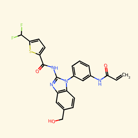 C=CC(=O)Nc1cccc(-n2c(NC(=O)c3ccc(C(F)F)s3)nc3cc(CO)ccc32)c1